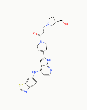 O=C(CCN1CC[C@@H](CO)C1)N1CC=C(c2cc3c(Nc4ccc5ncsc5c4)ccnc3[nH]2)CC1